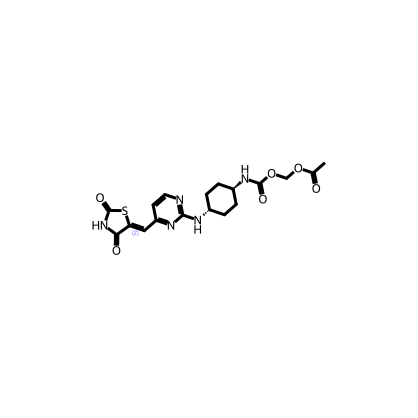 CC(=O)OCOC(=O)N[C@H]1CC[C@H](Nc2nccc(/C=C3\SC(=O)NC3=O)n2)CC1